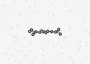 CC1(C)c2cc(-c3ccc(-c4ccc5c(c4)c4ccccc4n5-c4ccccc4)cc3)ccc2-c2cc3c(cc21)-c1ccc(-c2ccc4c(c2)c2ccccc2n4-c2cccc4ccccc24)cc1C3(C)C